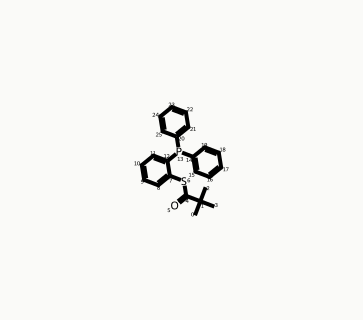 CC(C)(C)C(=O)Sc1ccccc1P(c1ccccc1)c1ccccc1